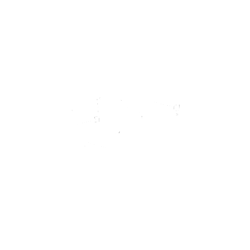 CC1=CC=C[Si]1(C)CCCCl